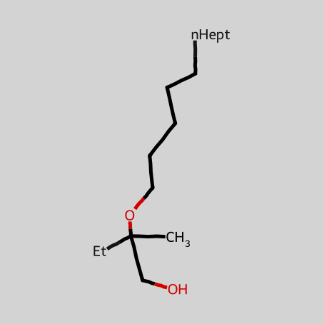 CCCCCCCCCCCCOC(C)(CC)CO